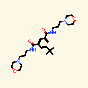 C=C(/C=C(\C=C\C(C)(C)C)C(=O)NCCCN1CCOCC1)C(=O)NCCCN1CCOCC1